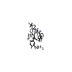 Cc1cc(F)c([C@]2(C)CS(=O)(=O)N(C)/C(=N/C(=O)OC(C)(C)C)N2)cc1N